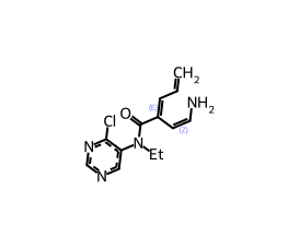 C=C/C=C(\C=C/N)C(=O)N(CC)c1cncnc1Cl